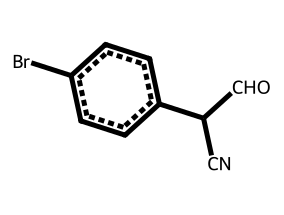 N#CC(C=O)c1ccc(Br)cc1